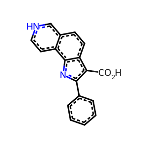 O=C(O)c1c(-c2ccccc2)nc2c1ccc1c[nH]ccc12